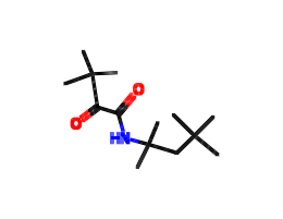 CC(C)(C)CC(C)(C)NC(=O)C(=O)C(C)(C)C